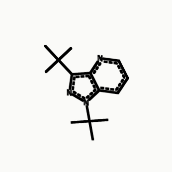 CC(C)(C)c1nn(C(C)(C)C)c2cccnc12